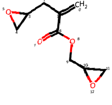 C=C(CC1CO1)C(=O)OCC1CO1